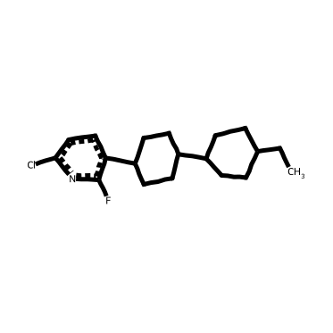 CCC1CCC(C2CCC(c3ccc(Cl)nc3F)CC2)CC1